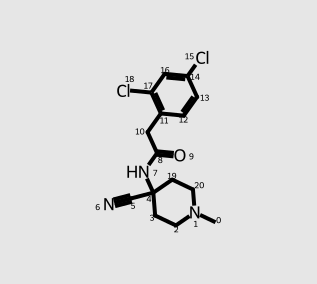 CN1CCC(C#N)(NC(=O)Cc2ccc(Cl)cc2Cl)CC1